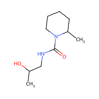 CC(O)CNC(=O)N1CCCCC1C